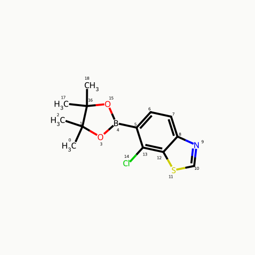 CC1(C)OB(c2ccc3ncsc3c2Cl)OC1(C)C